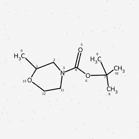 CC1CN(C(=O)OC(C)(C)C)CCO1